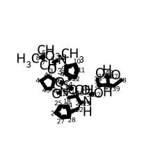 CN(C(=O)OC(C)(C)C)c1cccc(S(=O)(=O)N(C[C@@H](O)[C@H](Cc2ccccc2)NC(=O)O[C@H]2CO[C@H]3OCC[C@H]32)OC2CCCC2)c1